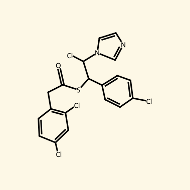 O=C(Cc1ccc(Cl)cc1Cl)SC(c1ccc(Cl)cc1)C(Cl)n1ccnc1